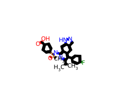 CC(C)c1nc(N=S(C)(=O)c2ccc(C(=O)O)cc2)c2cc3[nH]ncc3cc2c1-c1ccc(F)cc1